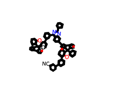 N#CC1=CC(c2cccc(-c3cccc4c3Oc3ccccc3C43c4ccccc4-c4cc(-c5ccc6c(-c7cccc(-c8cccc9c8Oc8ccccc8C98c9ccccc9-c9ccccc98)c7)nc(-c7ccccc7)nc6c5)ccc43)c2)=CCC1